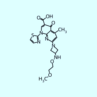 COCCONC1CN(c2cc(C)c3c(=O)c(C(=O)O)cn(-c4nccs4)c3n2)C1